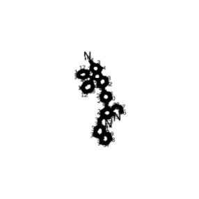 N#Cc1ccc2c(c1)C(c1ccccc1)(c1ccccc1)c1cc(-c3ccc(-c4cc5cc6ccc7ccccc7c6nc5c5ncccc45)cc3)ccc1-2